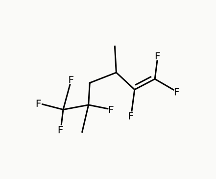 CC(CC(C)(F)C(F)(F)F)C(F)=C(F)F